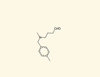 Cc1ccc(CN(C)CCCC=O)cc1